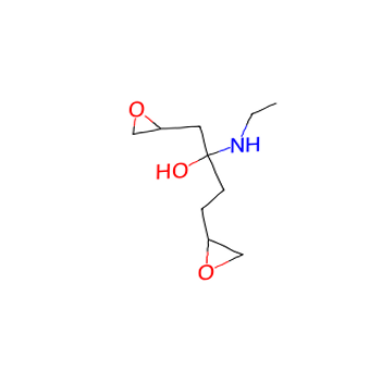 CCNC(O)(CCC1CO1)CC1CO1